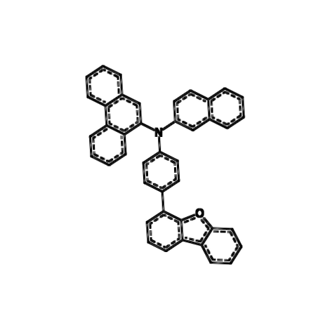 c1ccc2cc(N(c3ccc(-c4cccc5c4oc4ccccc45)cc3)c3cc4ccccc4c4ccccc34)ccc2c1